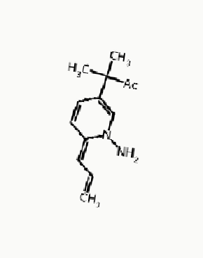 C=C/C=C1/C=CC(C(C)(C)C(C)=O)=CN1N